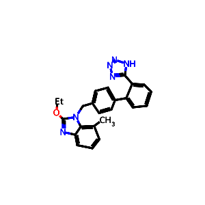 CCOc1nc2cccc(C)c2n1Cc1ccc(-c2ccccc2-c2nnn[nH]2)cc1